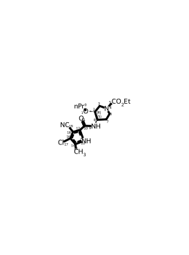 CCCO[C@@H]1CN(C(=O)OCC)CC[C@@H]1NC(=O)c1[nH]c(C)c(Cl)c1C#N